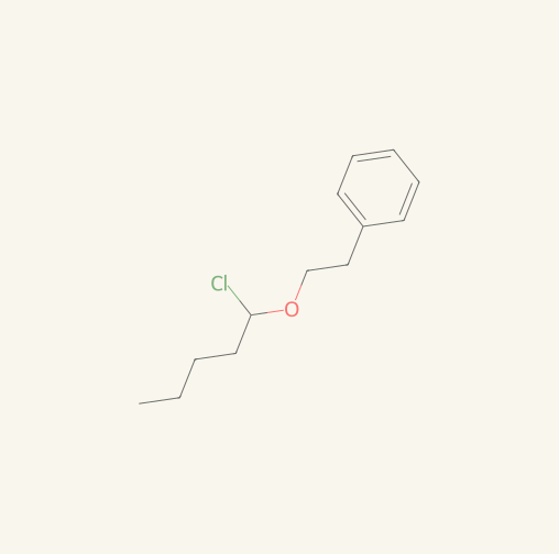 CCCCC(Cl)OCCc1ccccc1